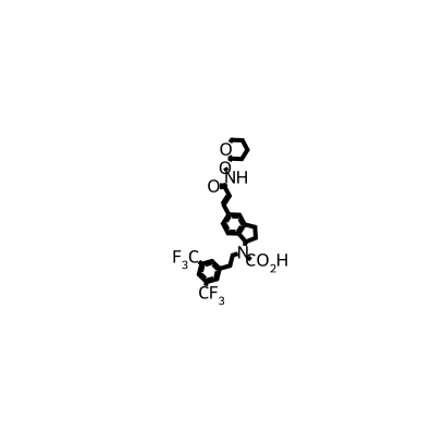 O=C(C=Cc1ccc2c(c1)CCC2N(CCc1cc(C(F)(F)F)cc(C(F)(F)F)c1)C(=O)O)NOC1CCCCO1